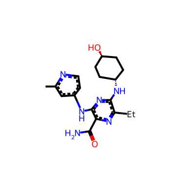 CCc1nc(C(N)=O)c(Nc2ccnc(C)c2)nc1N[C@H]1CC[C@H](O)CC1